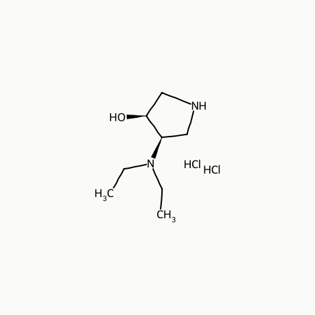 CCN(CC)[C@@H]1CNC[C@@H]1O.Cl.Cl